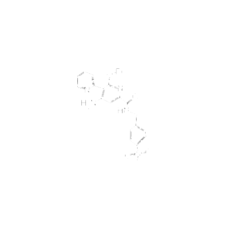 CCOc1nc(C(=O)NCc2ccc(S(C)(=O)=O)cc2)cc(N)c1-c1ccccn1